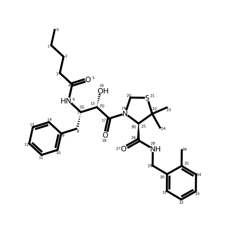 CCCCC(=O)N[C@@H](Cc1ccccc1)[C@H](O)C(=O)N1CSC(C)(C)[C@H]1C(=O)NCc1ccccc1C